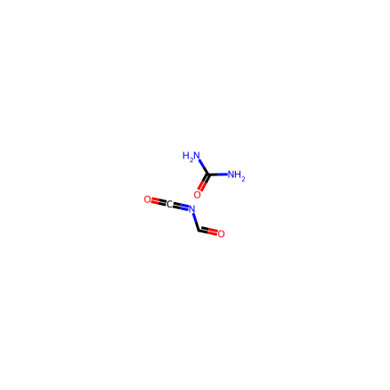 NC(N)=O.O=C=NC=O